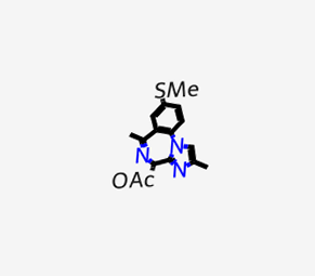 CSc1ccc2c(c1)C(C)=NC(OC(C)=O)c1nc(C)cn1-2